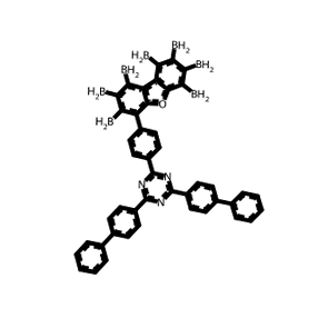 Bc1c(B)c(B)c2c(oc3c(-c4ccc(-c5nc(-c6ccc(-c7ccccc7)cc6)nc(-c6ccc(-c7ccccc7)cc6)n5)cc4)c(B)c(B)c(B)c32)c1B